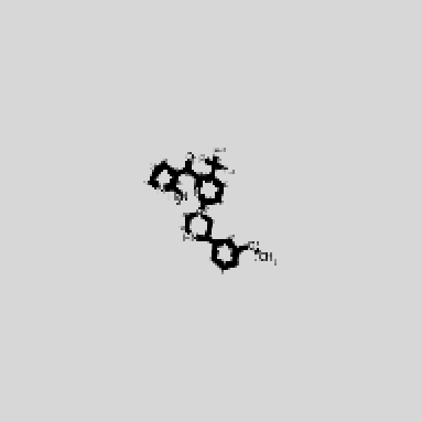 COc1cccc(C2CN(c3ccc(C(F)(F)F)c(C(=O)c4cccnc4N)n3)CCN2)c1